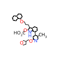 Cc1cnc(OCC2CCOC2)cc1-c1cccc2c(CCCOc3cccc4ccccc34)c(OC(=O)O)[nH]c12